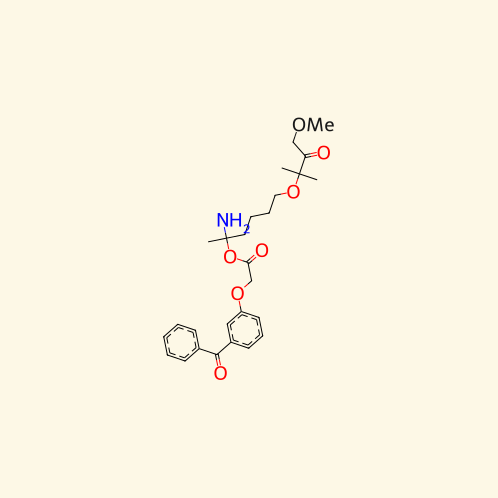 COCC(=O)C(C)(C)OCCCCC(C)(N)OC(=O)COc1cccc(C(=O)c2ccccc2)c1